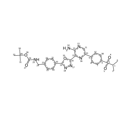 CC(C)S(=O)(=O)c1ccc(-c2cnc(N)c(-c3nnc(-c4ccc(CNC(=O)OC(C)(C)C)cc4)o3)n2)cc1